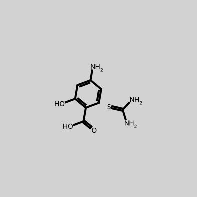 NC(N)=S.Nc1ccc(C(=O)O)c(O)c1